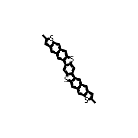 Cc1cc2cc3cc4c(cc3cc2s1)sc1cc2c(cc14)sc1cc3cc4sc(C)cc4cc3cc12